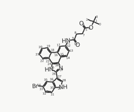 CC(C)(C)OC(=O)CCC(=O)Nc1ccc2c(c1)c1ccccc1c1[nH]c(-c3c[nH]c4ccc(Br)cc34)nc21